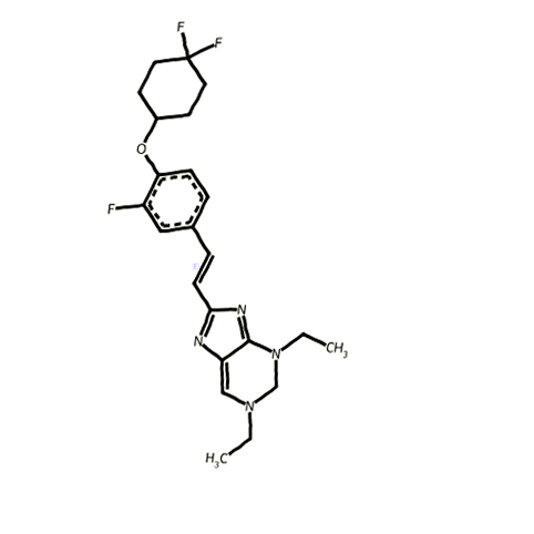 CCN1C=C2N=C(/C=C/c3ccc(OC4CCC(F)(F)CC4)c(F)c3)N=C2N(CC)C1